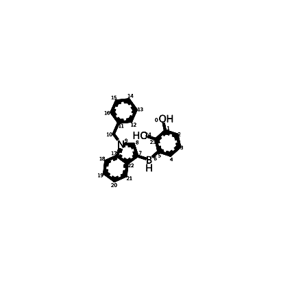 Oc1cccc(Bc2cn(Cc3ccccc3)c3ccccc23)c1O